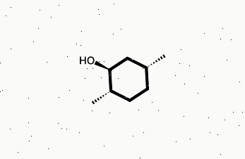 C[C@@H]1CC[C@H](C)[C@@H](O)C1